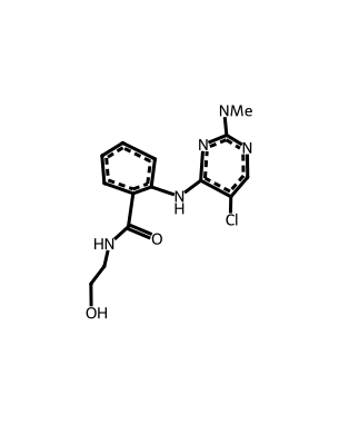 CNc1ncc(Cl)c(Nc2ccccc2C(=O)NCCO)n1